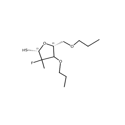 CCCOC[C@H]1O[C@@H](S)C(C)(F)C1OCCC